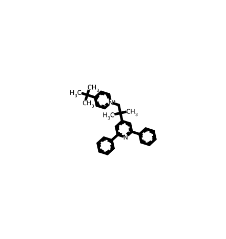 CC(C)(C)c1cc[n+](CC(C)(C)c2cc(-c3ccccc3)nc(-c3ccccc3)c2)cc1